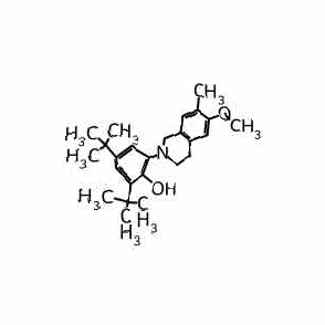 COc1cc2c(cc1C)CN(c1cc(C(C)(C)C)cc(C(C)(C)C)c1O)CC2